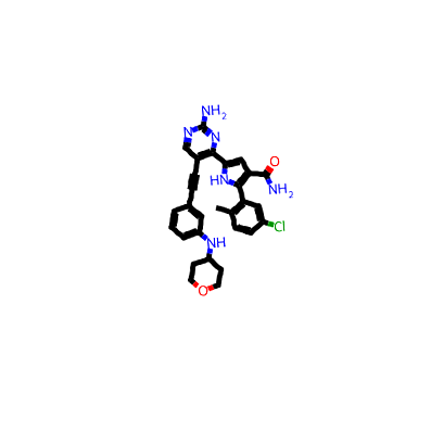 Cc1ccc(Cl)cc1-c1[nH]c(-c2nc(N)ncc2C#Cc2cccc(NC3CCOCC3)c2)cc1C(N)=O